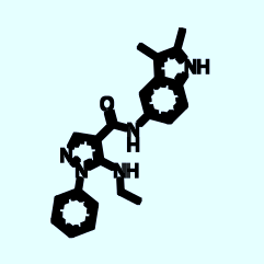 CCNc1c(C(=O)Nc2ccc3[nH]c(C)c(C)c3c2)cnn1-c1ccccc1